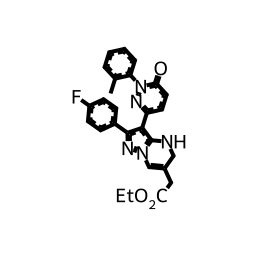 CCOC(=O)CC1=Cn2nc(-c3ccc(F)cc3)c(-c3ccc(=O)n(-c4ccccc4C)n3)c2NC1